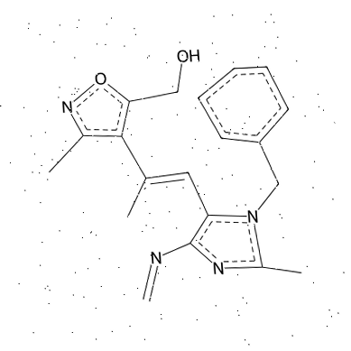 C=Nc1nc(C)n(Cc2ccccc2)c1/C=C(\C)c1c(C)noc1CO